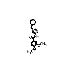 COc1ccc(C(=O)Nc2cn(CC3CCCCC3)cn2)cc1OC